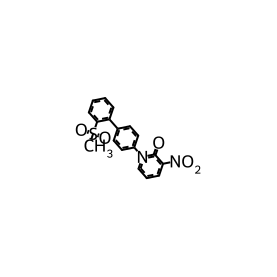 CS(=O)(=O)c1ccccc1-c1ccc(-n2cccc([N+](=O)[O-])c2=O)cc1